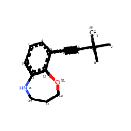 CC(C)(C#Cc1cccc2c1OCCCN2)C(F)(F)F